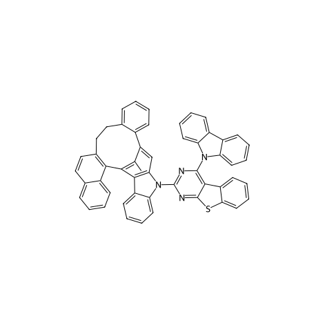 Cc1c2cc3c(c1-c1c(ccc4ccccc14)CCc1ccccc1-2)c1ccccc1n3-c1nc(-n2c3ccccc3c3ccccc32)c2c(n1)sc1ccccc12